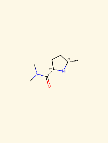 C[C@H]1CC[C@@H](C(=O)N(C)C)N1